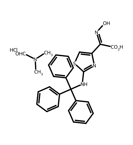 CN(C)C=O.Cl.O=C(O)/C(=N\O)c1csc(NC(c2ccccc2)(c2ccccc2)c2ccccc2)n1